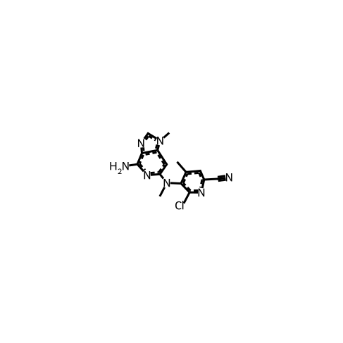 Cc1cc(C#N)nc(Cl)c1N(C)c1cc2c(ncn2C)c(N)n1